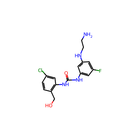 NCCNc1cc(F)cc(NC(=O)Nc2cc(Cl)ccc2CO)c1